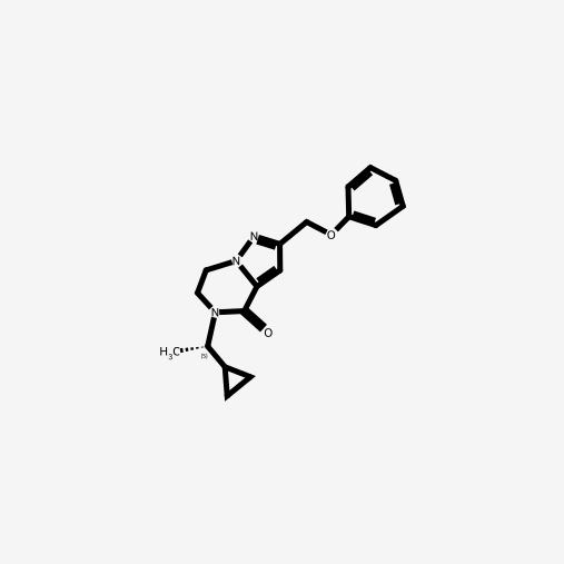 C[C@@H](C1CC1)N1CCn2nc(COc3ccccc3)cc2C1=O